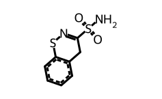 NS(=O)(=O)C1=NSc2ccccc2C1